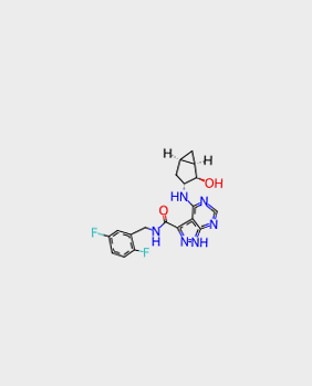 O=C(NCc1cc(F)ccc1F)c1n[nH]c2ncnc(N[C@@H]3C[C@H]4C[C@H]4[C@H]3O)c12